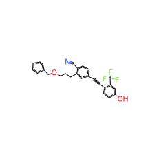 N#Cc1ccc(C#Cc2ccc(O)cc2C(F)(F)F)cc1CCCOCc1ccccc1